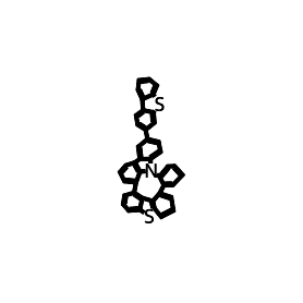 c1ccc2c(c1)sc1cc(-c3ccc4c(c3)c3cccc5c6cccc7sc8cccc(c9ccccc9n4c53)c8c76)ccc12